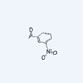 O=Pc1cccc([N+](=O)[O-])c1